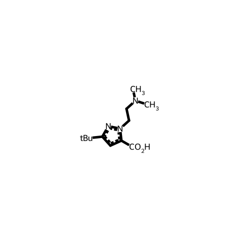 CN(C)CCn1nc(C(C)(C)C)cc1C(=O)O